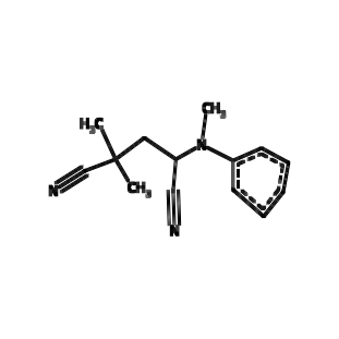 CN(c1ccccc1)C(C#N)CC(C)(C)C#N